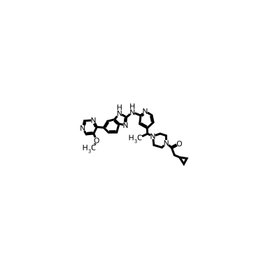 COc1cncnc1-c1ccc2nc(Nc3cc(C(C)N4CCN(C(=O)CC5CC5)CC4)ccn3)[nH]c2c1